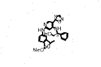 COB1OC(C)c2cc(Nc3cc(N[C@H](CO)c4ccccc4)c(-c4ncno4)cn3)ccc21